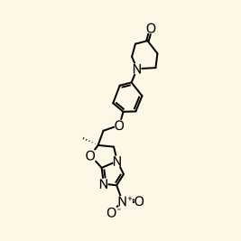 C[C@]1(COc2ccc(N3CCC(=O)CC3)cc2)Cn2cc([N+](=O)[O-])nc2O1